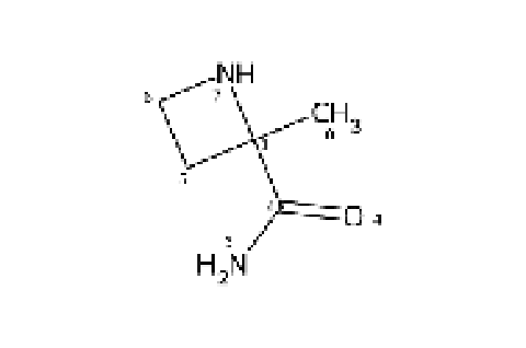 CC1(C(N)=O)CCN1